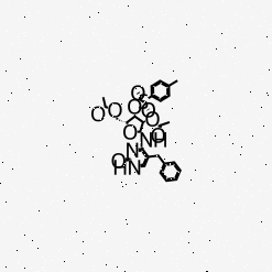 CC(=O)OC[C@H]1O[C@@H](Nc2nc(=O)[nH]cc2Cc2ccccc2)[C@H](OC(C)=O)[C@H]1OS(=O)(=O)c1ccc(C)cc1